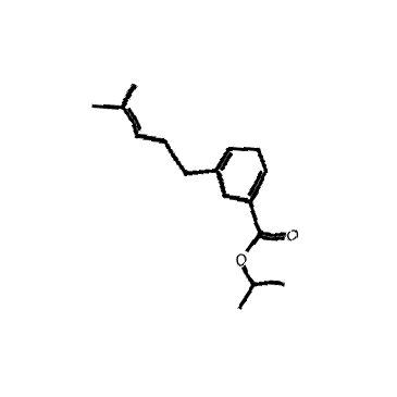 CC(C)=CCCC1=CCC=C(C(=O)OC(C)C)C1